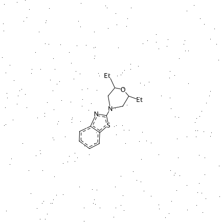 CCC1CN(c2nc3ccccc3s2)CC(CC)O1